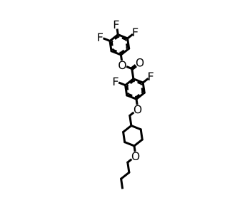 CCCCOC1CCC(COc2cc(F)c(C(=O)Oc3cc(F)c(F)c(F)c3)c(F)c2)CC1